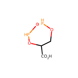 O=C(O)C1COPOPO1